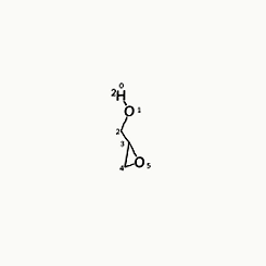 [2H]OCC1CO1